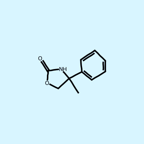 CC1(c2ccccc2)COC(=O)N1